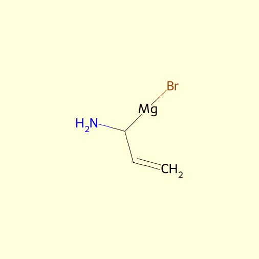 C=C[CH](N)[Mg][Br]